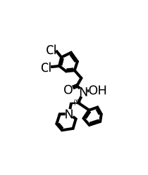 O=C(Cc1ccc(Cl)c(Cl)c1)N(O)[C@H](CN1CC=CCC1)c1ccccc1